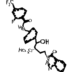 O=C(Nc1ccc(C(O)[C@H](CCn2nnc3ccccc3c2=O)C(=O)O)cc1)c1ccc(C(F)(F)F)cc1F